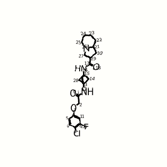 O=C(COc1ccc(Cl)c(F)c1)NC12CC(NC(=O)C3CC4CCCCN4C3)(C1)C2